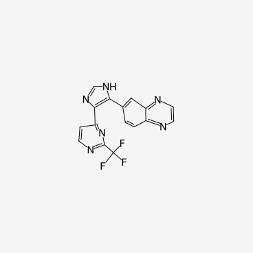 FC(F)(F)c1nccc(-c2nc[nH]c2-c2ccc3nccnc3c2)n1